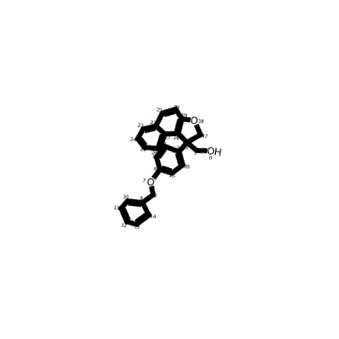 OCC1(c2ccc(OCc3ccccc3)cc2)COc2ccc3ccccc3c21